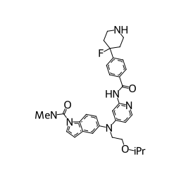 CNC(=O)n1ccc2cc(N(CCOC(C)C)c3ccnc(NC(=O)c4ccc(C5(F)CCNCC5)cc4)c3)ccc21